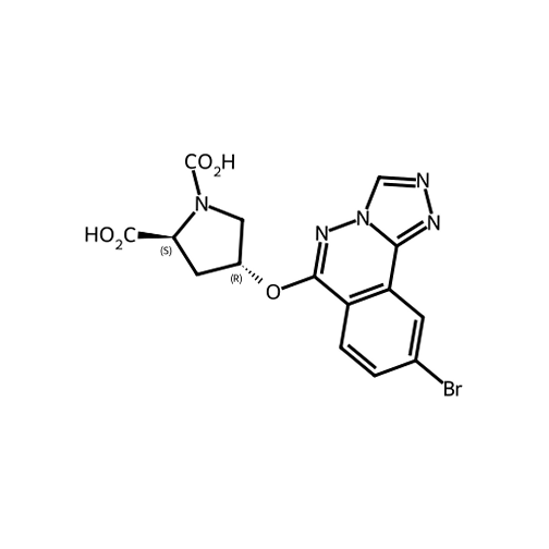 O=C(O)[C@@H]1C[C@@H](Oc2nn3cnnc3c3cc(Br)ccc23)CN1C(=O)O